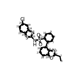 CCc1nc2c(-c3ccccc3S(=O)(=O)Nc3nc4cc(Cl)ccc4s3)cccc2o1